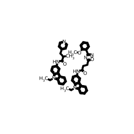 CCn1c2ccccc2c2cc(NC(=O)C(C)Cc3ccncc3)ccc21.CCn1c2ccccc2c2cc(NC(=O)CCc3nc(-c4ccccc4OC)no3)ccc21